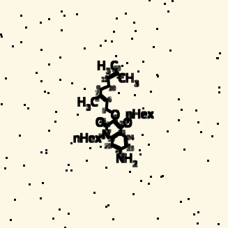 CCCCCCOc1c(OC/C=C(\C)CCC=C(C)C)c(=O)n(CCCCCC)c2cc(N)ccc12